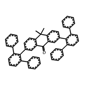 CC1(C)c2ccc(-c3c(-c4ccccc4)cccc3-c3ccccc3)cc2C(=O)c2cc(-c3c(-c4ccccc4)cccc3-c3ccccc3)ccc21